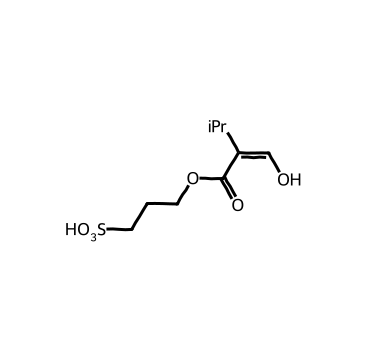 CC(C)/C(=C/O)C(=O)OCCCS(=O)(=O)O